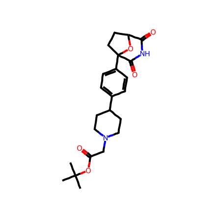 CC(C)(C)OC(=O)CN1CCC(c2ccc(C34CCC(O3)C(=O)NC4=O)cc2)CC1